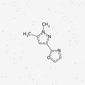 Cc1cc(-c2ncco2)nn1C